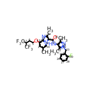 Cc1cc(OCCC(C(F)(F)F)C(F)(F)F)c2nc(C)c(C(=O)Nc3c(C)nn(Cc4ccccc4F)c3C)n2c1